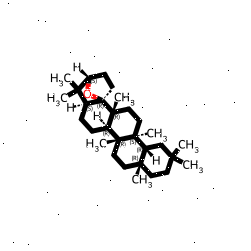 CC1(C)CC[C@]2(C)CC[C@]3(C)[C@H]4CC[C@H]5C(C)(C)[C@@H]6CC[C@]5(O6)[C@]4(C)CC[C@@]3(C)[C@@H]2C1